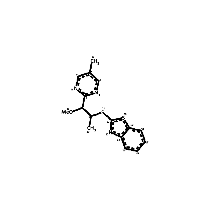 COC(c1ncc(C)cn1)C(C)Sc1nc2ccccc2s1